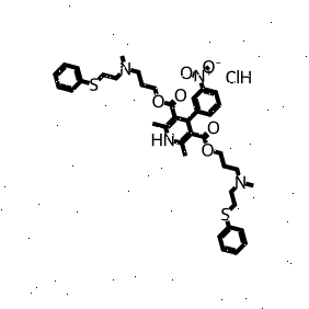 CC1=C(C(=O)OCCCN(C)CCSc2ccccc2)C(c2cccc([N+](=O)[O-])c2)C(C(=O)OCCCN(C)CCSc2ccccc2)=C(C)N1.Cl